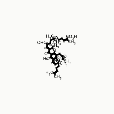 CC(C)=CCC[C@]1(C)C=Cc2c(O)c3c(c(CC4OC4(C)C)c2O1)OC(C)/C(=C\C(C=O)CCC(C)(C)OCC/C=C(/C)C(=O)O)C3=O